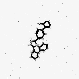 Ic1ccccc1-c1ccc(-c2nnc3c4ccccc4c4ccccc4n23)cc1